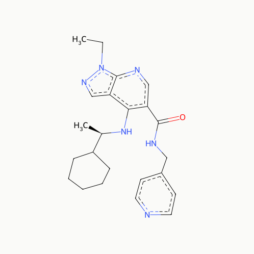 CCn1ncc2c(N[C@H](C)C3CCCCC3)c(C(=O)NCc3ccncc3)cnc21